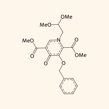 COC(=O)c1cn(CC(OC)OC)c(C(=O)OC)c(OCc2ccccc2)c1=O